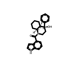 O=C(c1cccc2[nH]ccc12)N1CC[C@@](O)(c2ccccc2)[C@@H]2CCCC[C@@H]21